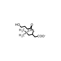 C[N+](C)(C)CC(CC(=O)[O-])SC(=O)CCCO